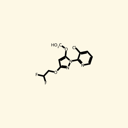 O=C(O)Oc1cc(OCC(F)F)nn1-c1ncccc1Cl